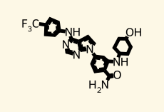 NC(=O)c1ccc(-n2ccc3c(Nc4ccc(C(F)(F)F)cc4)ncnc32)cc1NC1CCC(O)CC1